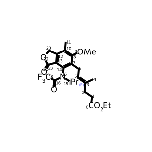 CCOC(=O)CC/C(C)=C/Cc1c(OC)c(C)c2c(c1N(C(=O)C(F)(F)F)C(C)C)C(=O)OC2